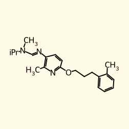 Cc1ccccc1CCCOc1ccc(/N=C/N(C)C(C)C)c(C)n1